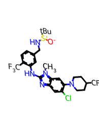 Cn1c(Nc2cc(CN[S+]([O-])C(C)(C)C)ccc2C(F)(F)F)nc2cc(Cl)c(N3CCC(C(F)(F)F)CC3)cc21